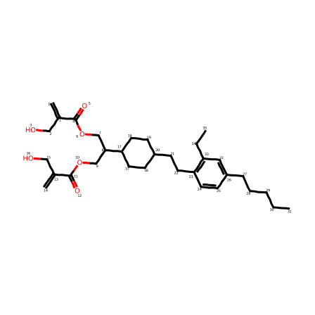 C=C(CO)C(=O)OCC(COC(=O)C(=C)CO)C1CCC(CCc2ccc(CCCCC)cc2CC)CC1